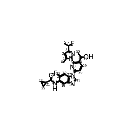 Cc1cc(C(C)F)nn1-c1nc(-n2cnc3cc(NC(=O)C4CC4)c(F)cc32)ccc1C(C)O